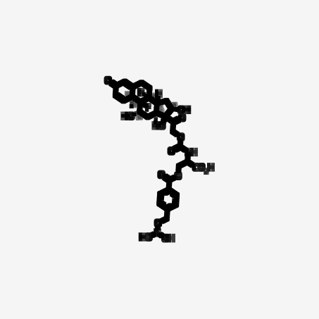 C[C@]12C[C@H](O)[C@@]3(F)[C@@H](CCC4=CC(=O)C=C[C@@]43C)[C@@H]1C[C@@H](O)C2(O)C(=O)COC(=O)NC(COC(=O)c1ccc(CON(O)O)cc1)C(=O)O